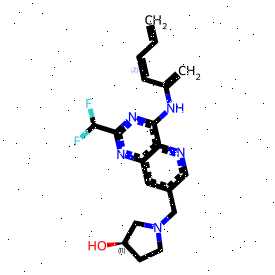 C=C/C=C\C(=C)Nc1nc(C(F)F)nc2cc(CN3CC[C@@H](O)C3)cnc12